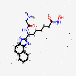 CN(C)CC(=O)N[C@@H](CCCCCC(=O)NO)c1nc2c(ccc3ccccc32)[nH]1